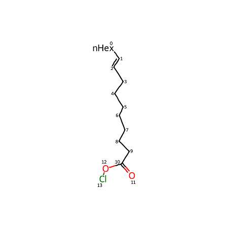 CCCCCCC=CCCCCCCCC(=O)OCl